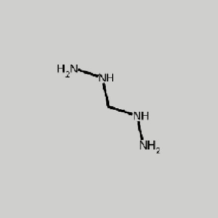 NNCNN